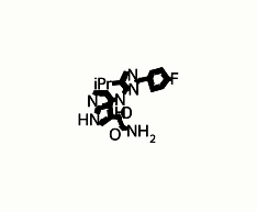 CC(C)c1cnc(-c2ccc(F)cc2)nc1Nc1ccnc2[nH]cc(C(=O)C(N)=O)c12